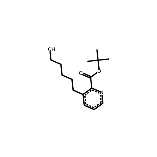 CC(C)(C)OC(=O)c1ncccc1CCCCCO